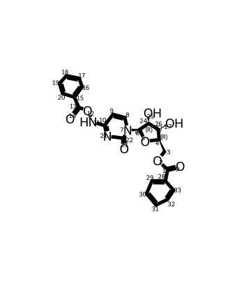 O=C(OC[C@H]1O[C@@H](n2ccc(NOC(=O)c3ccccc3)nc2=O)[C@H](O)[C@@H]1O)c1ccccc1